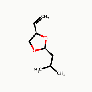 C=C[C@@H]1CO[C@H](CC(C)C)O1